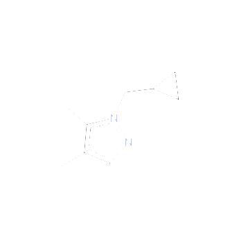 Cc1[c]nn(CC2CC2)c1C